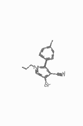 CCCn1cc(Br)c(C#N)c1-c1ccc(C)cc1